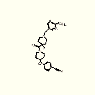 N#Cc1ccc(OC2CCN(C(=O)C3(F)CCN(Cc4cnc(N)nc4)CC3)CC2)cc1